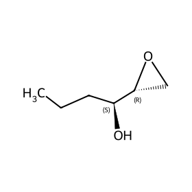 CCC[C@H](O)[C@H]1CO1